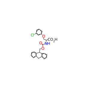 O=C(N[C@@H](COc1cccc(Cl)c1)C(=O)O)OCC1c2ccccc2Cc2ccccc21